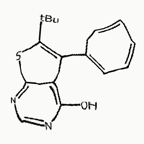 CC(C)(C)c1sc2ncnc(O)c2c1-c1ccccc1